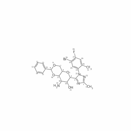 Cc1nc(C2OC3COC(c4ccccc4)OC3C(N)C2O)n(-c2cc(Br)c(F)cc2C(F)(F)F)n1